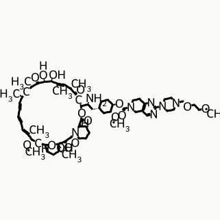 COCCOCN1CCN(c2ncc3c(n2)CCN(C(=O)O[C@@H]2CC[C@@H](C[C@@H](N)[C@@H]4CC(=O)[C@H](C)/C=C(\C)[C@@H](O)[C@@H](O)C(=O)[C@H](C)C[C@H](C)/C=C/C=C/C=C(\C)[C@@H](OC)C[C@@H]5CC[C@@H](C)[C@@](O)(O5)C(=O)C(=O)N5CCCC[C@H]5C(=O)O4)C[C@H]2OC)C3)CC1